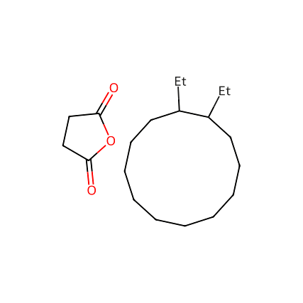 CCC1CCCCCCCCCCC1CC.O=C1CCC(=O)O1